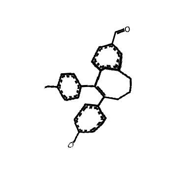 Cc1ccc(C2=C(c3ccc(Cl)cc3)CCCc3cc(C=O)ccc32)cc1